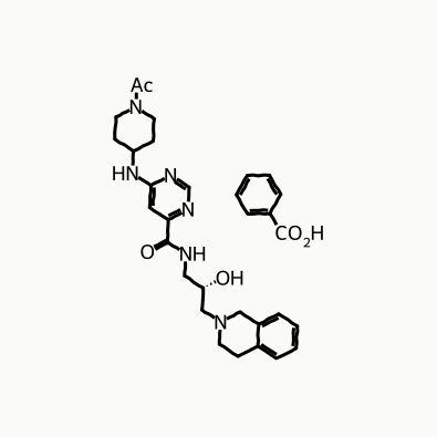 CC(=O)N1CCC(Nc2cc(C(=O)NC[C@H](O)CN3CCc4ccccc4C3)ncn2)CC1.O=C(O)c1ccccc1